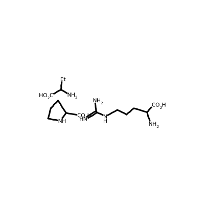 CCC(N)C(=O)O.N=C(N)NCCCC(N)C(=O)O.O=C(O)C1CCCN1